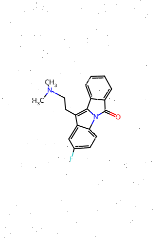 CN(C)CCc1c2n(c3ccc(F)cc13)C(=O)c1ccccc1-2